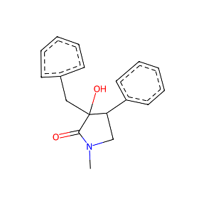 CN1CC(c2ccccc2)C(O)(Cc2ccccc2)C1=O